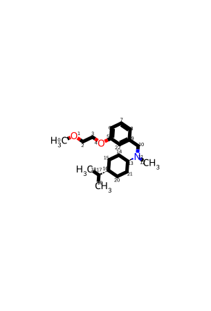 COCCOc1cccc(CN(C)[C@H]2CC[C@@H](C(C)C)CC2)c1